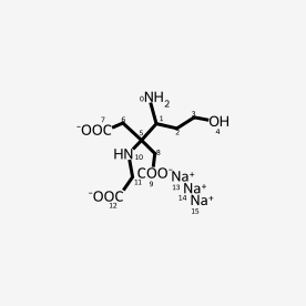 NC(CCO)C(CC(=O)[O-])(CC(=O)[O-])NCC(=O)[O-].[Na+].[Na+].[Na+]